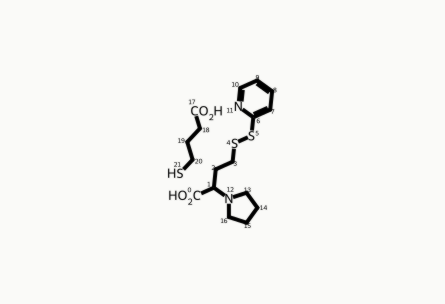 O=C(O)C(CCSSc1ccccn1)N1CCCC1.O=C(O)CCCS